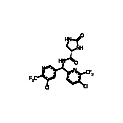 O=C1NC[C@@H](C(=O)NC(c2cnc(C(F)(F)F)c(Cl)c2)c2ccc(Cl)c(C(F)(F)F)n2)N1